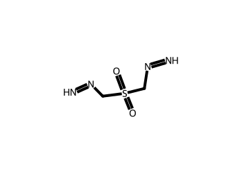 N=NCS(=O)(=O)CN=N